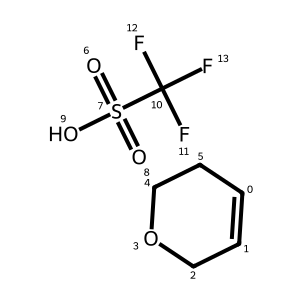 C1=CCOCC1.O=S(=O)(O)C(F)(F)F